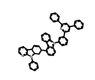 C1=CC2c3cccnc3N(c3ccccc3)C2CC1c1cccc2c1c1ccccc1n2-c1cccc(-c2cc(-c3ccccc3)cc(-c3ccccc3)n2)c1